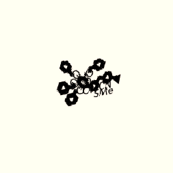 CSc1cc(C2(O)O[C@H](COCc3ccccc3)[C@@H](OCc3ccccc3)[C@H](OCc3ccccc3)[C@H]2OCc2ccccc2)cc(Cc2ccc(C3CC3)cc2)c1C#N